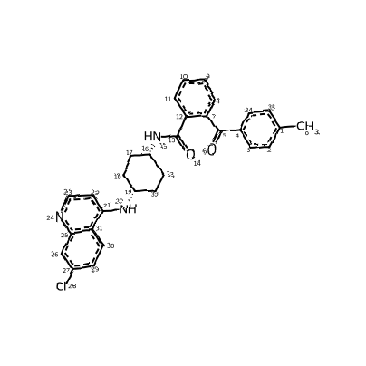 Cc1ccc(C(=O)c2ccccc2C(=O)N[C@H]2CC[C@@H](Nc3ccnc4cc(Cl)ccc34)CC2)cc1